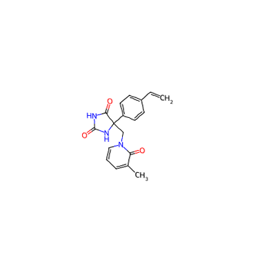 C=Cc1ccc(C2(Cn3cccc(C)c3=O)NC(=O)NC2=O)cc1